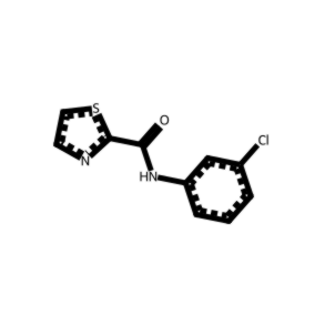 O=C(Nc1cccc(Cl)c1)c1nccs1